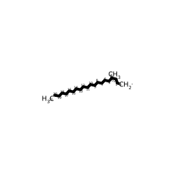 [CH2]CCC(C)CCCCCCCCCCCCCCCCC